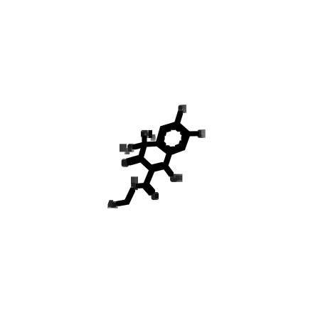 CC(=O)CNC(=O)C1=C(O)c2cc(Cl)c(Cl)cc2C(C)(C)C1=O